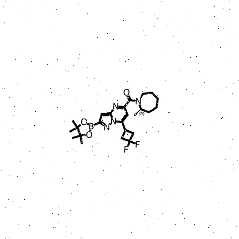 C[C@@H]1CCCCCN1C(=O)c1cc(C2CC(F)(F)C2)n2nc(B3OC(C)(C)C(C)(C)O3)cc2n1